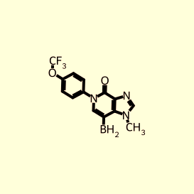 Bc1cn(-c2ccc(OC(F)(F)F)cc2)c(=O)c2ncn(C)c12